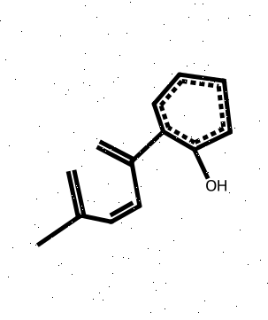 C=C(C)/C=C\C(=C)c1ccccc1O